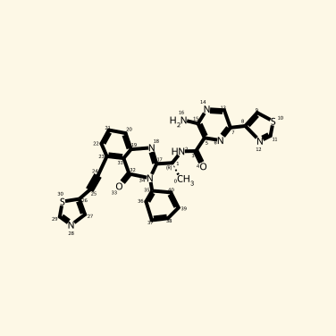 C[C@@H](NC(=O)c1nc(-c2cscn2)cnc1N)c1nc2cccc(C#Cc3cncs3)c2c(=O)n1-c1ccccc1